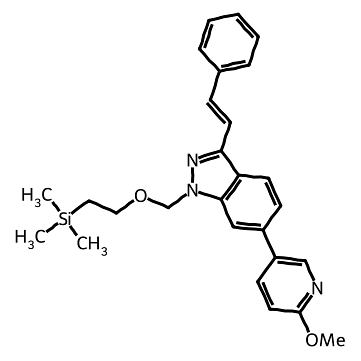 COc1ccc(-c2ccc3c(C=Cc4ccccc4)nn(COCC[Si](C)(C)C)c3c2)cn1